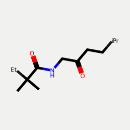 CCC(C)(C)C(=O)NCC(=O)CCC(C)C